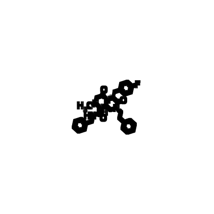 CN1CC(=O)N2[C@@H](Cc3ccc(F)cc3)C(=O)N(CCc3ccccc3)C[C@@H]2N1C(=O)NCc1ccccc1